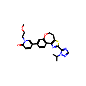 COCCn1cc(-c2ccc3c(c2)OCCc2sc(-c4ncnn4C(C)C)nc2-3)ccc1=O